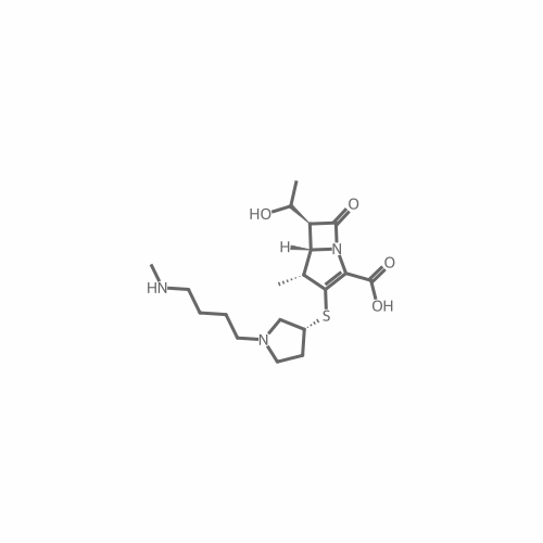 CNCCCCN1CC[C@@H](SC2=C(C(=O)O)N3C(=O)[C@H](C(C)O)[C@H]3[C@H]2C)C1